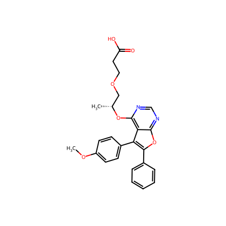 COc1ccc(-c2c(-c3ccccc3)oc3ncnc(O[C@H](C)COCCC(=O)O)c23)cc1